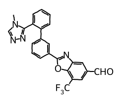 Cn1cnnc1-c1ccccc1-c1cccc(-c2nc3cc(C=O)cc(C(F)(F)F)c3o2)c1